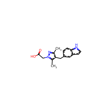 Cc1nn(CC(=O)O)c(C)c1Cc1ccc2[nH]ccc2c1